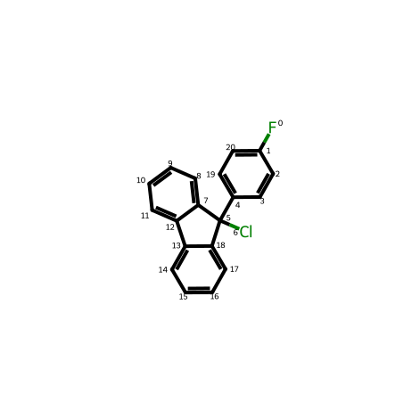 Fc1ccc(C2(Cl)c3ccccc3-c3ccccc32)cc1